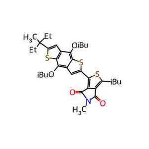 CCC(C)c1sc(-c2cc3c(OCC(C)C)c4sc(C(C)(CC)CC)cc4c(OCC(C)C)c3s2)c2c1C(=O)N(C)C2=O